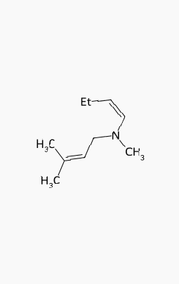 CC/C=C\N(C)CC=C(C)C